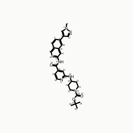 Cn1cc(-c2ccc3cnc(NC(=O)c4ccnc(NC5CCN(C(=O)OC(C)(C)C)CC5)c4)cc3c2)cn1